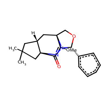 COC1=NC23CC(C)(C)C[C@@H]2CC12CO[C@H](c1ccccc1)N2C3=O